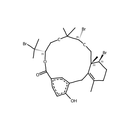 CC1=C2Cc3cc(ccc3O)C(=O)O[C@H](C(C)(C)Br)CCC(C)(C)[C@H](Br)CC[C@]2(C)[C@@H](Br)CC1